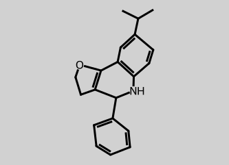 CC(C)c1ccc2c(c1)C1=C(CCO1)C(c1ccccc1)N2